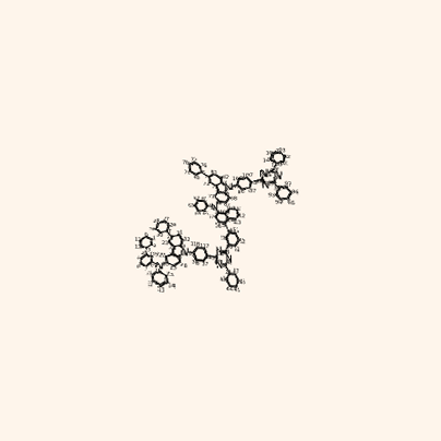 c1ccc(-c2cccc(N(c3ccccc3)c3ccc4c(c3)c3cc(-c5ccccc5)ccc3n4-c3ccc(-c4nc(-c5ccccc5)nc(-c5cccc(-c6ccc(N(c7ccccc7)c7ccc8c(c7)c7cc(-c9ccccc9)ccc7n8-c7ccc(-c8nc(-c9ccccc9)nc(-c9ccccc9)n8)cc7)c7ccccc67)c5)n4)cc3)c2)cc1